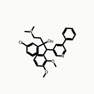 COc1cccc(C(c2cncc(-c3ccccc3)c2)C(O)(CCN(C)C)C2=C=C=CC(Cl)=C2)c1OC